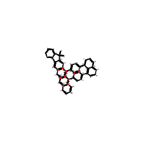 CC1(C)c2ccccc2-c2ccc(N(c3ccccc3)c3ccc(-c4cccc5cccc(-c6ccc(N(c7ccccc7)c7ccccc7)cc6)c45)cc3)cc21